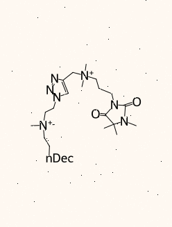 CCCCCCCCCCCC[N+](C)(C)CCn1cc(C[N+](C)(C)CCCN2C(=O)N(C)C(C)(C)C2=O)nn1